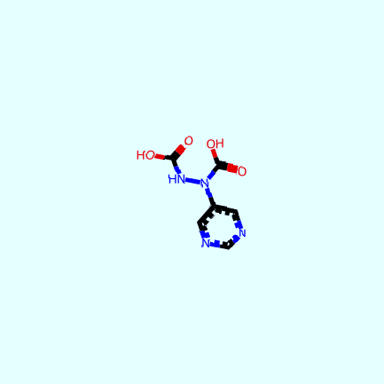 O=C(O)NN(C(=O)O)c1cncnc1